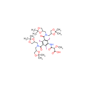 COC(C(=O)O)C(=O)Nc1c(I)c(C(=O)N(CC2COC(C)(C)O2)CC2COC(C)(C)O2)c(I)c(C(=O)N(CC2COC(C)(C)O2)CC2COC(C)(C)O2)c1I